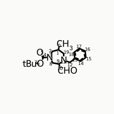 CC1CN(C(=O)OC(C)(C)C)CC(C=O)N(Cc2ccccc2)C1